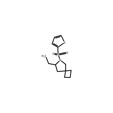 CCC1CC2(CCC2)CN1S(=O)(=O)c1cccs1